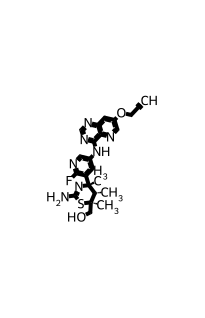 C#CCOc1cnc2c(Nc3cnc(F)c([C@@]4(C)N=C(N)S[C@](C)(CO)[C@H]4C)c3)ncnc2c1